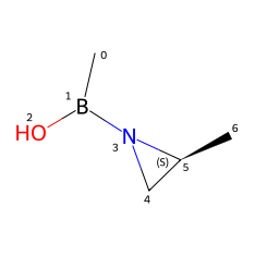 CB(O)N1C[C@@H]1C